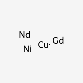 [Cu].[Gd].[Nd].[Ni]